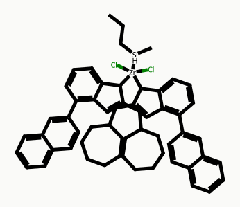 CCC[SiH](C)[Zr]([Cl])([Cl])([CH]1C(CC2CCCCCC2)=Cc2c(-c3ccc4ccccc4c3)cccc21)[CH]1C(CC2CCCCCC2)=Cc2c(-c3ccc4ccccc4c3)cccc21